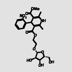 COC(=O)C1=C(C)NC(C)=C(C(=O)OCCO[C@@H]2O[C@H](CO)[C@@H](O)[C@H]2O)C1c1ccccc1[N+](=O)[O-]